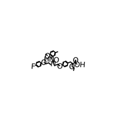 CCOC(Cc1ccc(OCCN(CCCOc2ccc(F)cc2)C(=O)Nc2cc(C)ccc2OC)cc1)C(=O)O